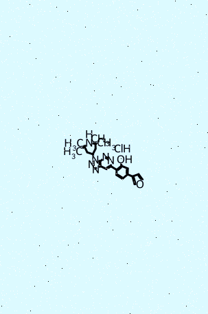 CC1(C)CC(n2nnc3cc(-c4ccc(-c5ccoc5)cc4O)nnc32)CC(C)(C)N1.Cl